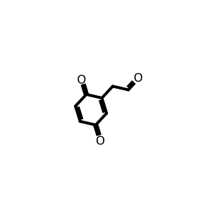 O=CCC1=CC(=O)C=CC1=O